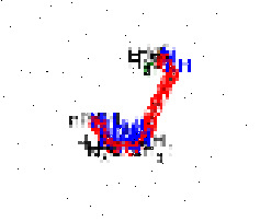 CCCNC(=O)c1nc(NC(=O)CCNC(=O)c2cc(NC(=O)c3nc(NC(=O)CCNC(=O)c4cc(NC(=O)c5nc(NC(=O)CCNC(=O)COCCOCCOCCOCCOCCOCCOCCOCCOc6ccc(NC(=O)C[C@@H]7N=C(c8ccc(Cl)cc8)c8c(sc(C)c8C)-n8c(C)nnc87)cc6)cn5C)cn4C)cn3C)cn2C)cn1C